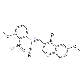 COc1ccc2occ(/C=C(\C#N)c3cccc(OC)c3[N+](=O)[O-])c(=O)c2c1